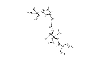 CC(C)OC[C@@]12CCCN1[C@H](COc1cncc(C(F)(F)F)n1)CC2